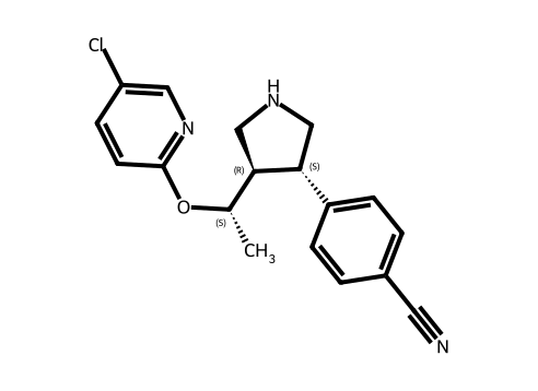 C[C@H](Oc1ccc(Cl)cn1)[C@H]1CNC[C@@H]1c1ccc(C#N)cc1